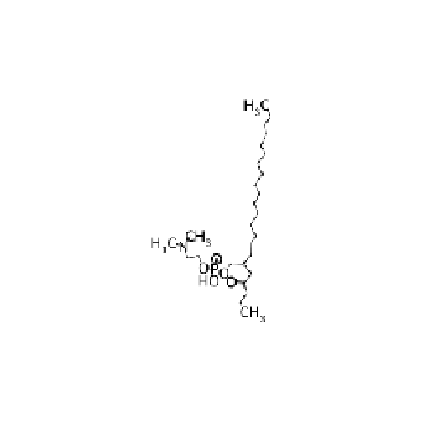 CCCCCCCCCCCCCCCCC(COP(=O)(O)OCCN(C)C)CC(=O)CCC